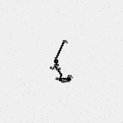 CCCCCCCCCCCCCCOc1ccc(C(=O)O[C@H](C)COC(=O)CCC/C=C\C[C@@H]2[C@H](/C=C/C[C@H](O)C3(CC)CCC3)[C@H](O)C[C@@H]2Cl)cc1